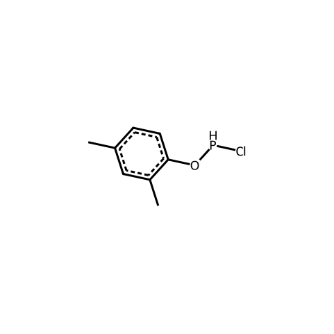 Cc1ccc(OPCl)c(C)c1